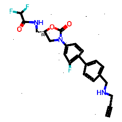 C#CCNCc1ccc(-c2ccc(N3C[C@H](CNC(=O)C(F)F)OC3=O)cc2F)cc1